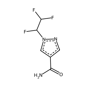 NC(=O)c1cnn(C(F)C(F)F)c1